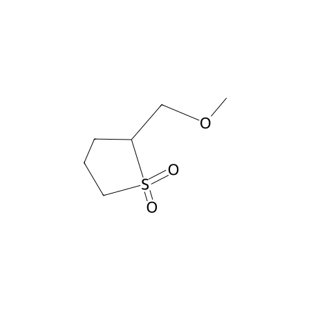 COCC1CCCS1(=O)=O